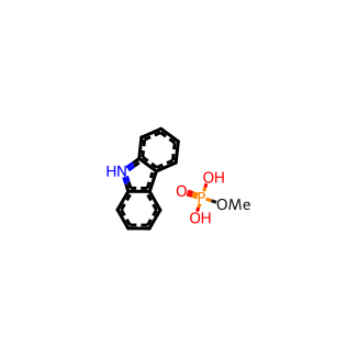 COP(=O)(O)O.c1ccc2c(c1)[nH]c1ccccc12